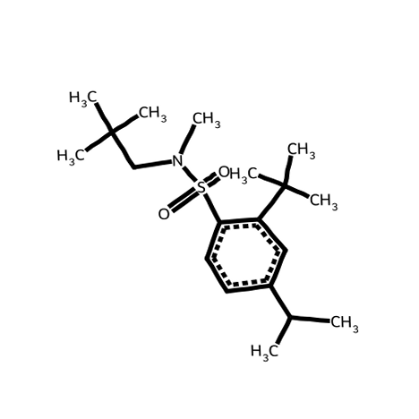 CC(C)c1ccc(S(=O)(=O)N(C)CC(C)(C)C)c(C(C)(C)C)c1